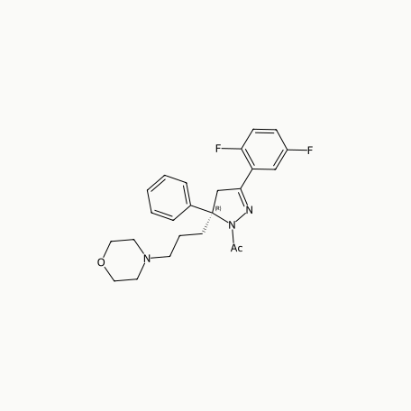 CC(=O)N1N=C(c2cc(F)ccc2F)C[C@]1(CCCN1CCOCC1)c1ccccc1